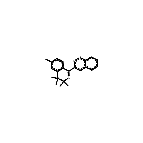 Cc1ccc2c(c1)C(C)(C)C(C)(C)N=C2c1cc2ccccc2nn1